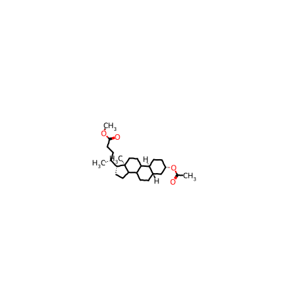 COC(=O)CC[C@@H](C)[C@H]1CCC2C3CC[C@H]4C[C@@H](OC(C)=O)CC[C@@H]4C3CC[C@@]21C